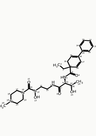 CCC1(C(=O)N[C@H](C(=O)NCCN(O)C(=O)N2CCN(C)CC2)[C@@H](C)O)C=CC(c2ccccc2)=CC1